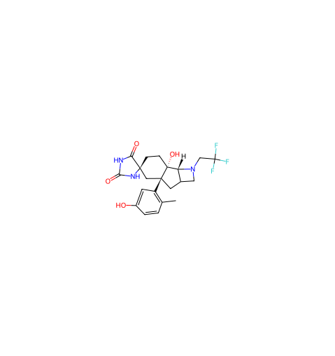 Cc1ccc(O)cc1[C@]12CC3CN(CC(F)(F)F)[C@H]3[C@]1(O)CC[C@@]1(C2)NC(=O)NC1=O